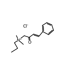 CCC[N+](C)(C)CC(=O)C=Cc1ccccc1.[Cl-]